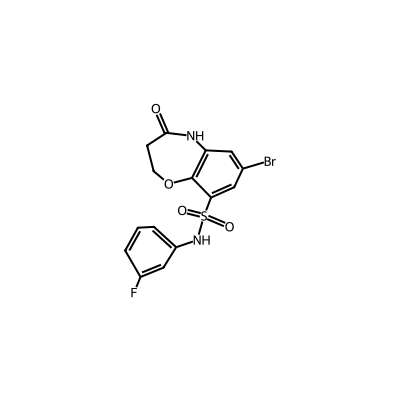 O=C1CCOc2c(cc(Br)cc2S(=O)(=O)Nc2cccc(F)c2)N1